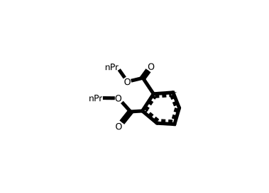 CCCOC(=O)c1[c]cccc1C(=O)OCCC